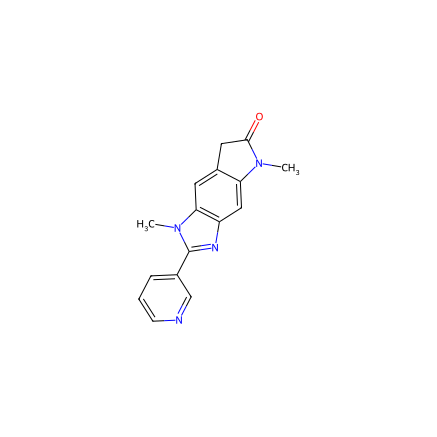 CN1C(=O)Cc2cc3c(cc21)nc(-c1cccnc1)n3C